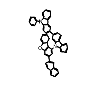 C1=CCC2C(=C1)Oc1cc(-c3ccc4ccccc4c3)cc(-n3c4ccccc4c4ccc(-c5ccc6c(c5)c5ccccc5n6-c5ccccc5)cc43)c12